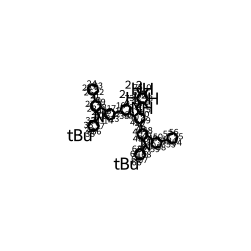 [2H]c1c([2H])c([2H])c(-n2c3ccc(-c4ccc5c(c4)c4cc(-c6ccccc6)ccc4n5-c4ccc(C(C)(C)C)cc4)cc3c3cc(-c4ccc5c(c4)c4cc(-c6ccccc6)ccc4n5-c4ccc(C(C)(C)C)cc4)ccc32)c([2H])c1[2H]